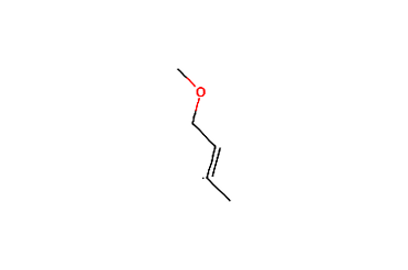 C/[C]=C/COC